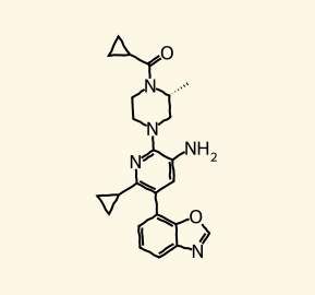 C[C@@H]1CN(c2nc(C3CC3)c(-c3cccc4ncoc34)cc2N)CCN1C(=O)C1CC1